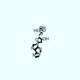 O=P(O)(O)OC[C@H]1O[C@@H](n2cnc3c2ncn2ccnc32)C[C@@H]1O